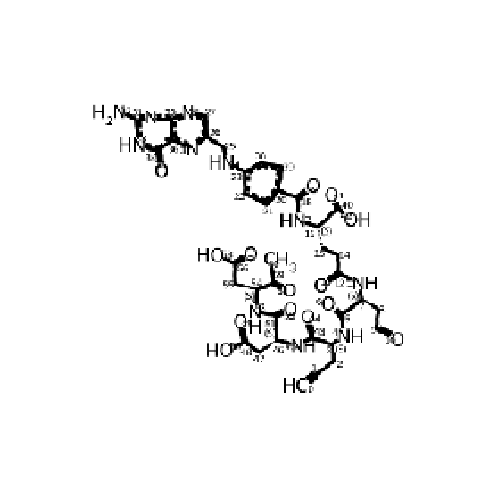 C#CC[C@H](NC(=O)[C@H](CC=O)NC(=O)CC[C@H](NC(=O)c1ccc(NCc2cnc3nc(N)[nH]c(=O)c3n2)cc1)C(=O)O)C(=O)N[C@@H](CC(=O)O)C(=O)N[C@@H](CC(=O)O)C(C)=O